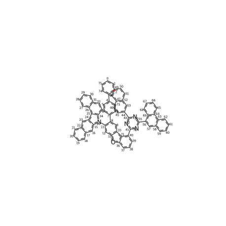 c1ccc(-c2ccc(-c3cc4c(cc3-n3c5cc6ccccc6cc5c5c6ccccc6ccc53)oc3cccc(-c5nc(-c6ccc7ccccc7c6)nc(-c6cc7ccccc7c7ccccc67)n5)c34)cc2)cc1